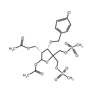 CC(=O)OC[C@H]1C(OC(C)=O)OC(COS(C)(=O)=O)(COS(C)(=O)=O)[C@H]1OCc1ccc(Cl)cc1